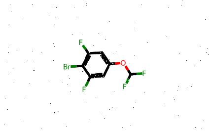 Fc1cc(OC(F)F)cc(F)c1Br